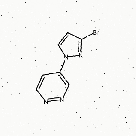 Brc1ccn(-c2ccnnc2)n1